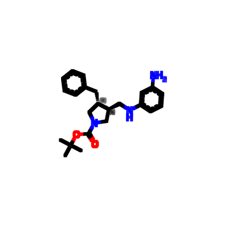 CC(C)(C)OC(=O)N1C[C@H](CNc2cccc(N)c2)[C@@H](Cc2ccccc2)C1